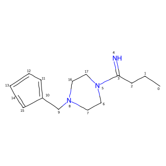 CCCC(=N)N1CCN(Cc2ccccc2)CC1